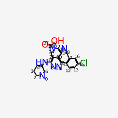 CN1CCC[C@@H](Nc2nnc(-c3ccc(Cl)cc3C#N)c3ccncc23)C1.O=CO